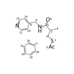 CC(=O)SCC(C)C(=O)NCc1ccncc1.c1ccccc1